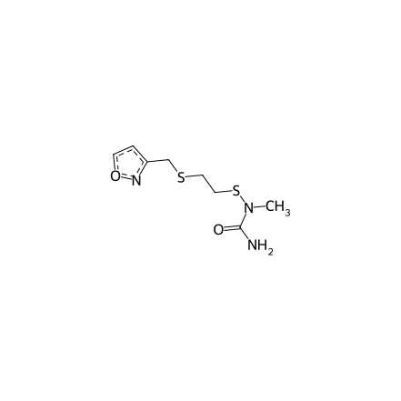 CN(SCCSCc1ccon1)C(N)=O